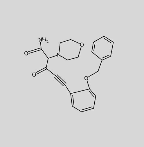 NC(=O)C(C(=O)C#Cc1ccccc1OCc1ccccc1)N1CCOCC1